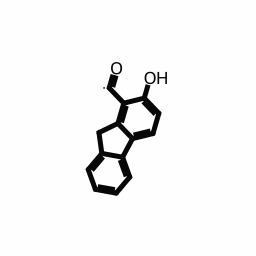 O=[C]c1c(O)ccc2c1Cc1ccccc1-2